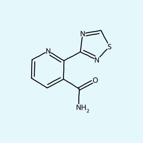 NC(=O)c1cccnc1-c1ncsn1